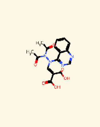 CC(=O)N(C(C)=O)N(C=C(C(=O)O)C(=O)O)c1ncnc2ccccc12